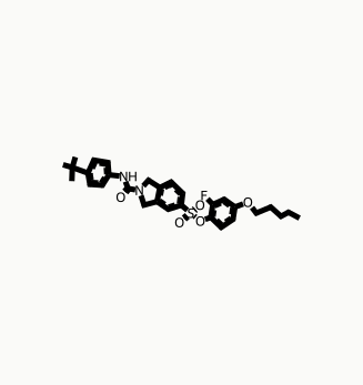 CCCCCOc1ccc(OS(=O)(=O)c2ccc3c(c2)CN(C(=O)Nc2ccc(C(C)(C)C)cc2)C3)c(F)c1